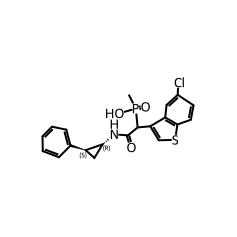 CP(=O)(O)C(C(=O)N[C@@H]1C[C@H]1c1ccccc1)c1csc2ccc(Cl)cc12